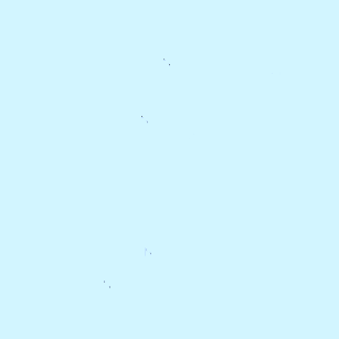 C1=C(c2nccnc2Oc2ccc(Nc3ccccn3)cc2)CCOC1